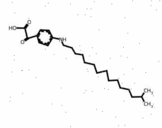 CC(C)CCCCCCCCCCCCCNc1ccc(C(=O)C(=O)O)cc1